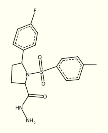 Cc1ccc(S(=O)(=O)N2C(C(=O)NN)CCC2c2ccc(F)cc2)cc1